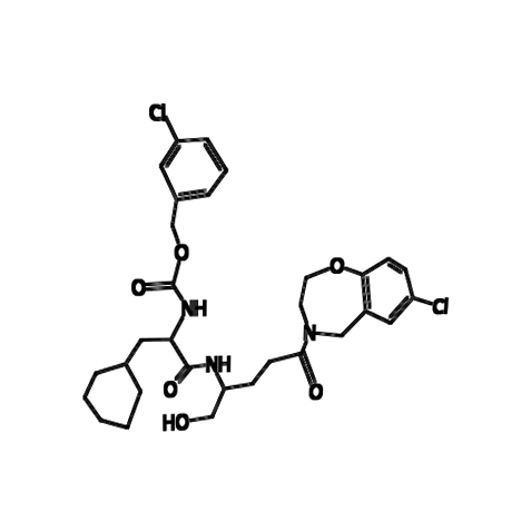 O=C(NC(CC1CCCCC1)C(=O)NC(CO)CCC(=O)N1CCOc2ccc(Cl)cc2C1)OCc1cccc(Cl)c1